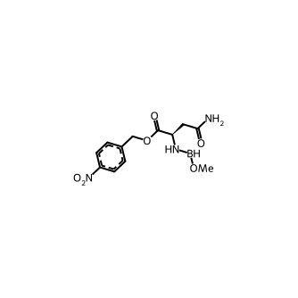 COBN[C@H](CC(N)=O)C(=O)OCc1ccc([N+](=O)[O-])cc1